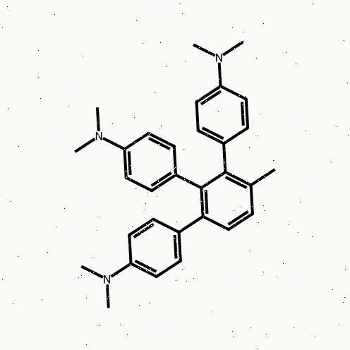 Cc1ccc(-c2ccc(N(C)C)cc2)c(-c2ccc(N(C)C)cc2)c1-c1ccc(N(C)C)cc1